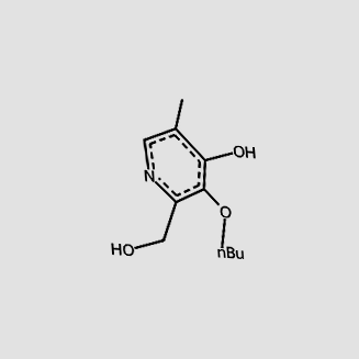 CCCCOc1c(CO)ncc(C)c1O